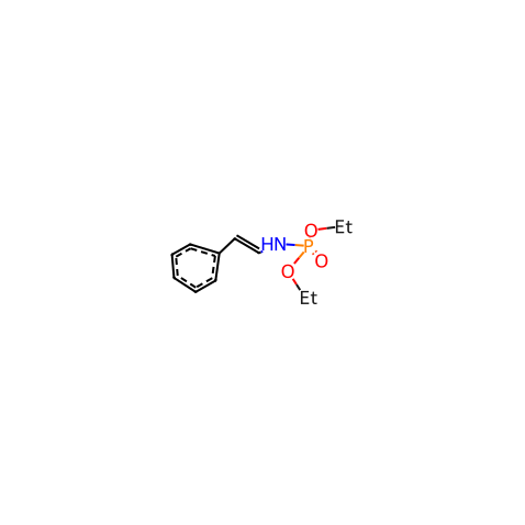 CCOP(=O)(NC=Cc1ccccc1)OCC